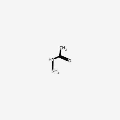 CC(=O)N[SiH3]